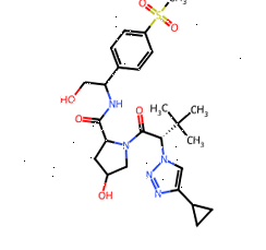 CC(C)(C)[C@@H](C(=O)N1CC(O)CC1C(=O)NC(CO)c1ccc(S(C)(=O)=O)cc1)n1cc(C2CC2)nn1